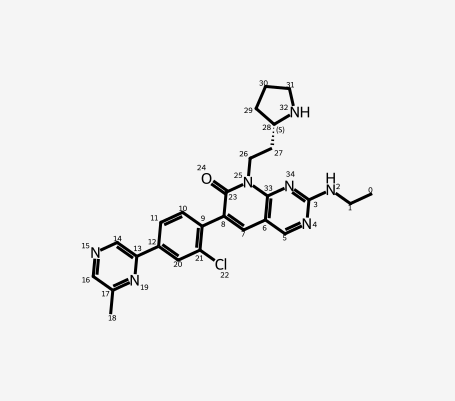 CCNc1ncc2cc(-c3ccc(-c4cncc(C)n4)cc3Cl)c(=O)n(CC[C@@H]3CCCN3)c2n1